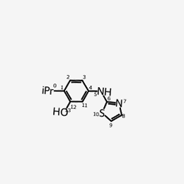 CC(C)c1ccc(Nc2nccs2)cc1O